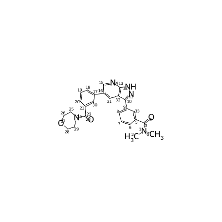 CN(C)C(=O)c1cccc(-c2n[nH]c3ncc(-c4cccc(C(=O)N5CCOCC5)c4)cc23)c1